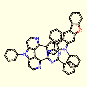 c1ccc(-c2nc(-c3ccccc3)nc(-c3nccc4c3c3c(-c5ccc6c(c5)c5cc7c(cc5n6-c5ccccc5)oc5ccccc57)nccc3n4-c3ccccc3)n2)cc1